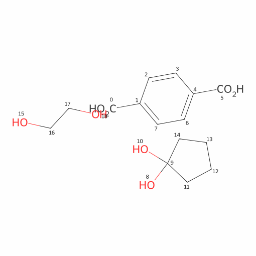 O=C(O)c1ccc(C(=O)O)cc1.OC1(O)CCCC1.OCCO